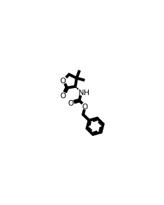 CC1(C)COC(=O)[C@H]1NC(=O)OCc1ccccc1